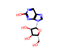 OC[C@H]1O[C@@H](n2cnc3cnc(O)nc32)[C@H](O)[C@@H]1O